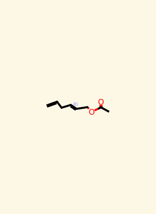 C=CC/C=C/COC(C)=O